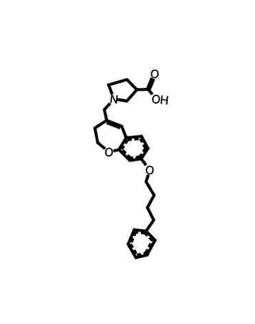 O=C(O)C1CCN(CC2=Cc3ccc(OCCCCc4ccccc4)cc3OCC2)C1